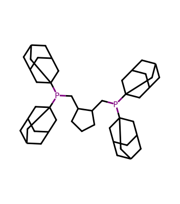 C1CC(CP(C23CC4CC(CC(C4)C2)C3)C23CC4CC(CC(C4)C2)C3)C(CP(C23CC4CC(CC(C4)C2)C3)C23CC4CC(CC(C4)C2)C3)C1